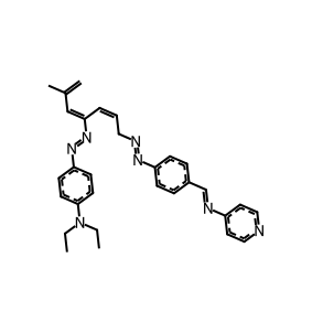 C=C(C)/C=C(\C=C/CN=Nc1ccc(C=Nc2ccncc2)cc1)N=Nc1ccc(N(CC)CC)cc1